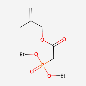 C=C(C)COC(=O)CP(=O)(OCC)OCC